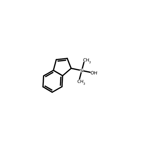 C[Si](C)(O)C1C=Cc2ccccc21